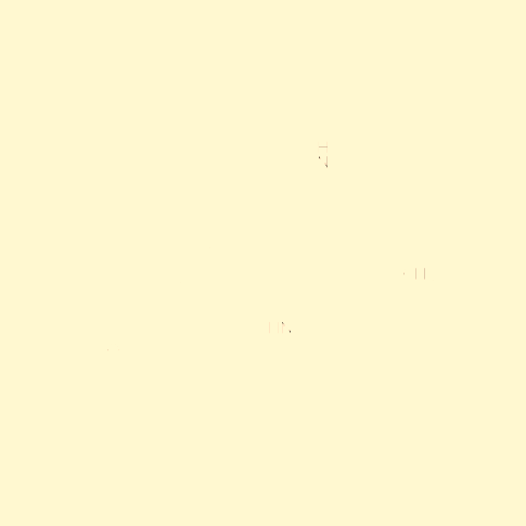 CC(c1c[nH]c2ccc(C3C=COCC3)cc12)C1CCCN1